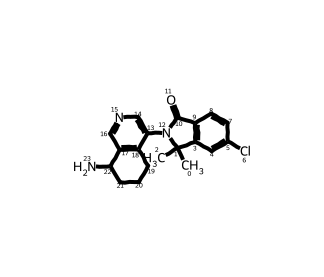 CC1(C)c2cc(Cl)ccc2C(=O)N1c1cncc2c1CCCC2N